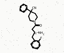 N#CC1(c2ccccc2)CCN(C(=O)C[C@H](N)Cc2ccccc2F)CC1